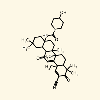 CC1(C)CCC2(NC(=O)N3CCC(O)CC3)CCC3(C)C(C(=O)C=C4C5(C)C=C(C#N)C(=O)C(C)(C)C5CCC43C)C2C1